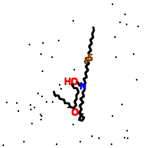 CCCCCCCCCSSCCCCCCCN(CCO)CCCCCCCC(OC(CCCCCCCC)CCCCCCCC)=C1CCC1